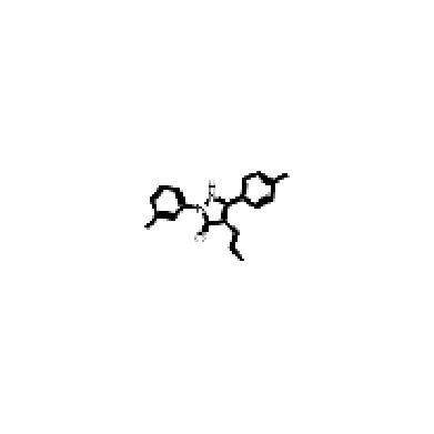 CCCc1c(-c2ccc(C)cc2)[nH]n(-c2cccc(C)c2)c1=O